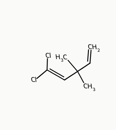 C=CC(C)(C)C=C(Cl)Cl